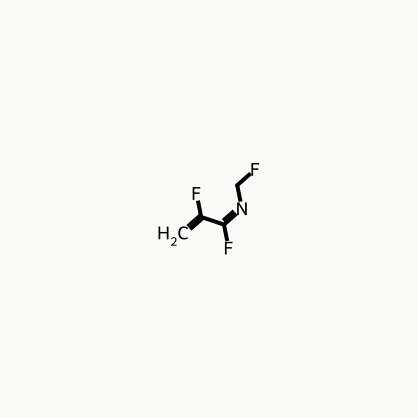 C=C(F)/C(F)=N\CF